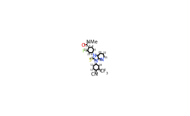 CNC(=O)c1ccc(-n2c(=S)n(-c3ccc(C#N)c(C(F)(F)F)c3)c3ncccc32)cc1F